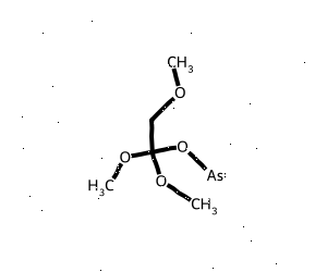 COCC(OC)(OC)O[As]